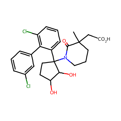 CC1(CC(=O)O)CCCN(C2(c3cccc(Cl)c3-c3cccc(Cl)c3)CCC(O)C2O)C1=O